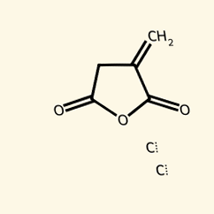 C=C1CC(=O)OC1=O.[C].[C]